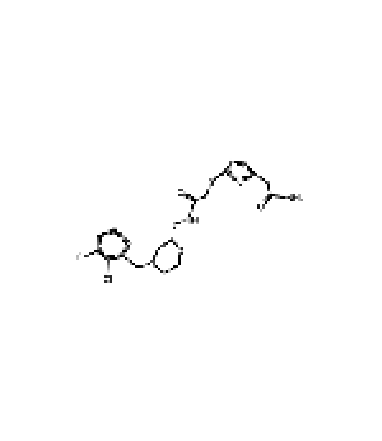 NC(=O)Cc1csc(SCC(=O)NC[C@H]2CN(Cc3cccc(Cl)c3Cl)CCO2)n1